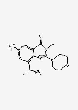 C[C@@H](N)c1cc(C(F)(F)F)cc2c(=O)n(C)c(N3CCOCC3)nc12